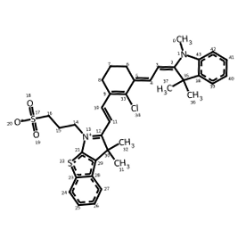 CN1/C(=C/C=C2\CCCC(/C=C/C3=[N+](CCCS(=O)(=O)[O-])c4sc5ccccc5c4C3(C)C)=C2Cl)C(C)(C)c2ccccc21